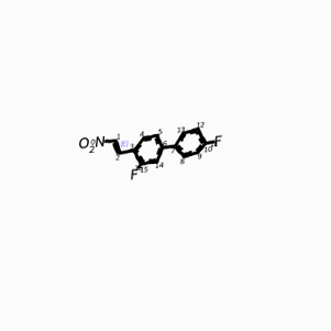 O=[N+]([O-])/C=C/c1ccc(-c2ccc(F)cc2)cc1F